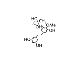 COc1c(O)cc(CCc2cc(O)cc(O)c2)cc1CC(O)C(C)(C)O